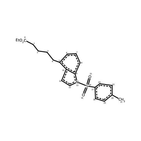 CCOC(=O)CCCCc1cccc2c1ccn2S(=O)(=O)c1ccc(C)cc1